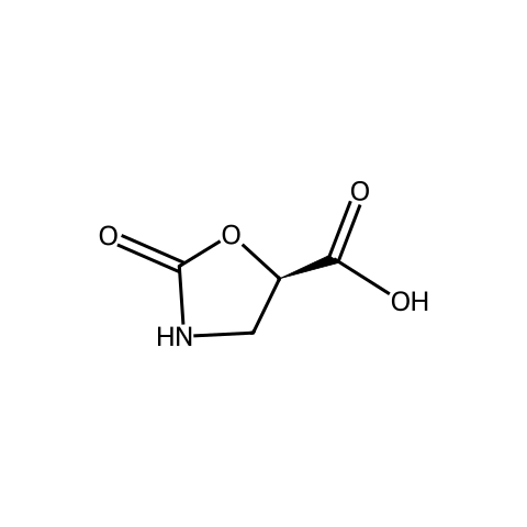 O=C1NC[C@H](C(=O)O)O1